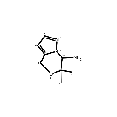 CC1(C)OCc2ccnn2C1N